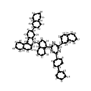 c1ccc(-c2ccc(-c3nc(-c4ccc5ccccc5c4)nc(-c4ccc(-n5c6cc(-c7ccc8ccccc8c7)ccc6c6c7ccccc7ccc65)c5ccccc45)n3)cc2)cc1